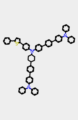 c1ccc(-c2ccc(-c3ccc(N(c4ccc(-c5ccc(-c6ccc(N(c7ccccc7)c7ccccc7)cc6)cc5)cc4)C4CCC(c5ccc(-c6ccc(N(c7ccccc7)c7ccccc7)cc6)cc5)CC4)cc3)s2)cc1